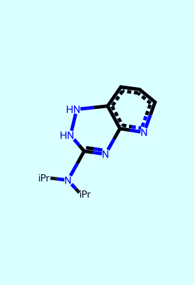 CC(C)N(C1=Nc2ncccc2NN1)C(C)C